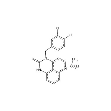 CCOC(C)=O.O=C1Nc2cccc3nccc(c23)N1Cc1ccc(Cl)c(Cl)c1